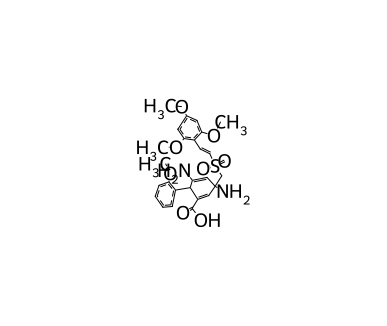 COc1cc(OC)c(/C=C/S(=O)(=O)CC2(N)C=C(N)C(c3ccccc3OC)C(C(=O)O)=C2)c(OC)c1